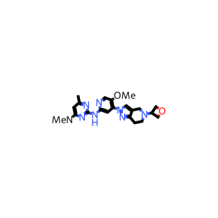 CNc1cc(C)nc(Nc2cc(-n3cc4c(n3)CCN(C3COC3)C4)c(OC)cn2)n1